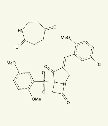 COc1ccc(OC)c(S(=O)(=O)C23CC(=O)N2CC(=Cc2cc(Cl)ccc2OC)C3=O)c1.O=C1CCNC(=O)CC1